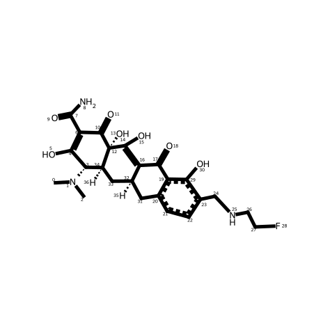 CN(C)[C@@H]1C(O)=C(C(N)=O)C(=O)[C@@]2(O)C(O)=C3C(=O)c4c(ccc(CNCCF)c4O)C[C@H]3C[C@@H]12